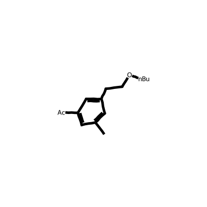 CCCCOCCc1cc(C)cc(C(C)=O)c1